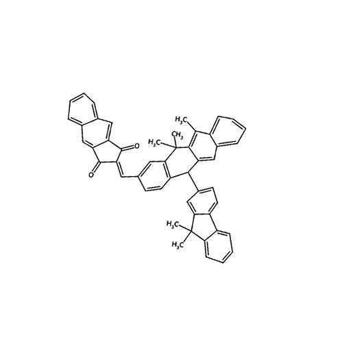 Cc1c2c(cc3ccccc13)C(c1ccc3c(c1)C(C)(C)c1ccccc1-3)c1ccc(C=C3C(=O)c4cc5ccccc5cc4C3=O)cc1C2(C)C